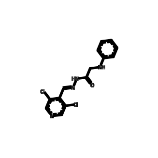 O=C(CNc1ccccc1)N/N=C/c1c(Cl)cncc1Cl